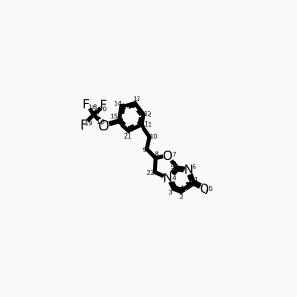 O=c1ccn2c(n1)OC(CCc1cccc(OC(F)(F)F)c1)C2